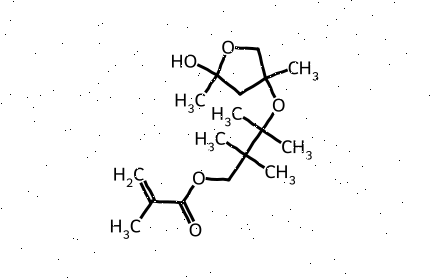 C=C(C)C(=O)OCC(C)(C)C(C)(C)OC1(C)COC(C)(O)C1